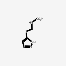 O=C(O)NCSc1cnn[nH]1